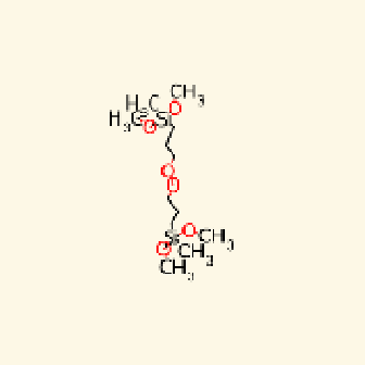 CO[Si](C)(CCCOOCCC[Si](C)(OC)OC)OC